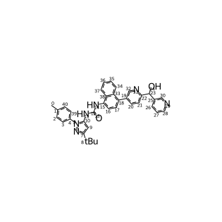 Cc1ccc(-n2nc(C(C)(C)C)cc2NC(=O)Nc2ccc(-c3ccc(C(O)c4cccnc4)nc3)c3ccccc23)cc1